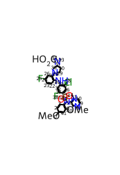 COc1ccc(N(c2cnccn2)S(=O)(=O)c2cc(Cl)c(Nc3ccc(F)cc3N3CCC(N(C)C(=O)O)C3)cc2F)c(OC)c1